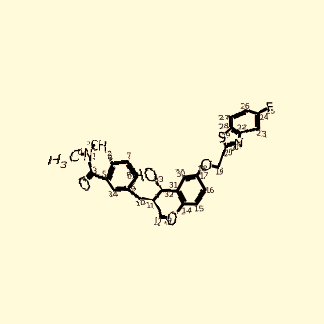 CN(C)C(=O)c1cccc(C[C@@H]2COc3ccc(OCc4nc5cc(F)ccc5s4)cc3[C@@H]2O)c1